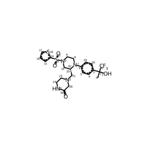 CC(O)(c1ccc(N2CCN(S(=O)(=O)c3cccs3)C[C@@H]2CN2CCNC(=O)C2)cc1)C(F)(F)F